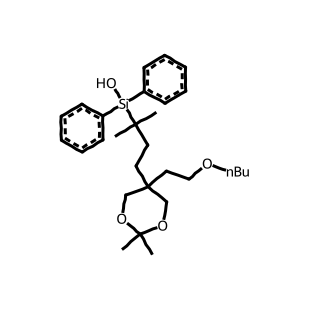 CCCCOCCC1(CCC(C)(C)[Si](O)(c2ccccc2)c2ccccc2)COC(C)(C)OC1